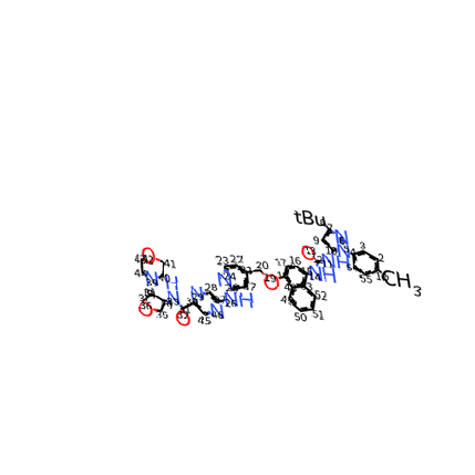 Cc1ccc(-n2nc(C(C)(C)C)cc2NC(=O)Nc2ccc(OCc3ccnc(Nc4cnc(C(=O)N[C@H]5COC[C@@H]5N5CCOCC5)cn4)c3)c3ccccc23)cc1